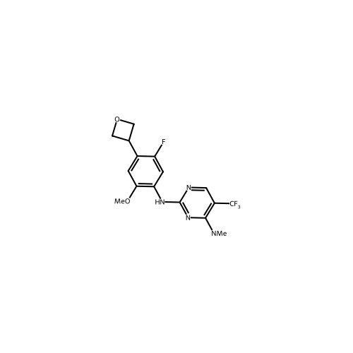 CNc1nc(Nc2cc(F)c(C3COC3)cc2OC)ncc1C(F)(F)F